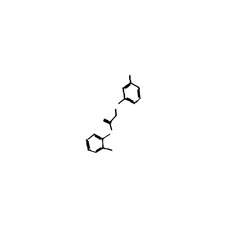 Cc1ccccc1NC(=O)COc1cccc(C=O)c1